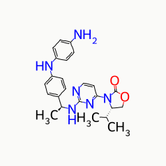 CC(C)[C@H]1COC(=O)N1c1ccnc(N[C@@H](C)c2ccc(Nc3ccc(N)cc3)cc2)n1